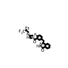 CCC(CNC1CN(C(=O)c2cc(Cc3n[nH]c(=O)c4ccccc34)ccc2F)C1)C(F)(F)F